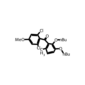 CCCCOc1ccc(C)c(C(=O)c2c(Cl)cc(OC)cc2Cl)c1OCCCC